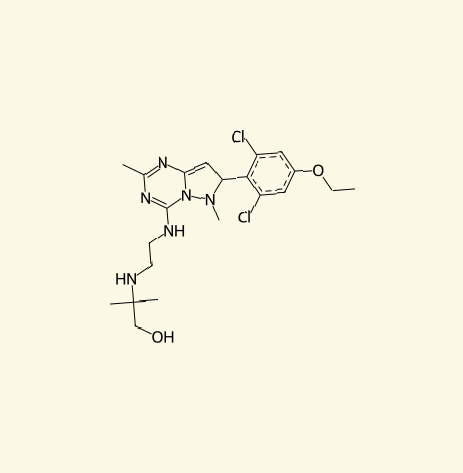 CCOc1cc(Cl)c(C2C=C3N=C(C)N=C(NCCNC(C)(C)CO)N3N2C)c(Cl)c1